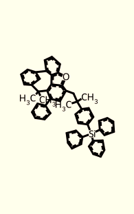 CC(C)(Cc1cc(-c2ccccc2)c2c3c1oc1cccc(c13)-c1cccc(c1)C2(C)C)c1ccc([Si](c2ccccc2)(c2ccccc2)c2ccccc2)cc1